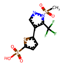 CS(=O)(=O)n1ncc(-c2ccc(S(=O)(=O)O)s2)c1C(F)(F)F